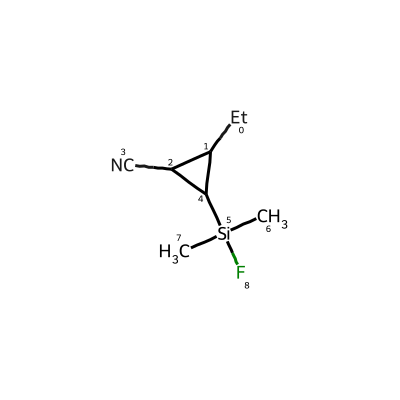 CCC1C(C#N)C1[Si](C)(C)F